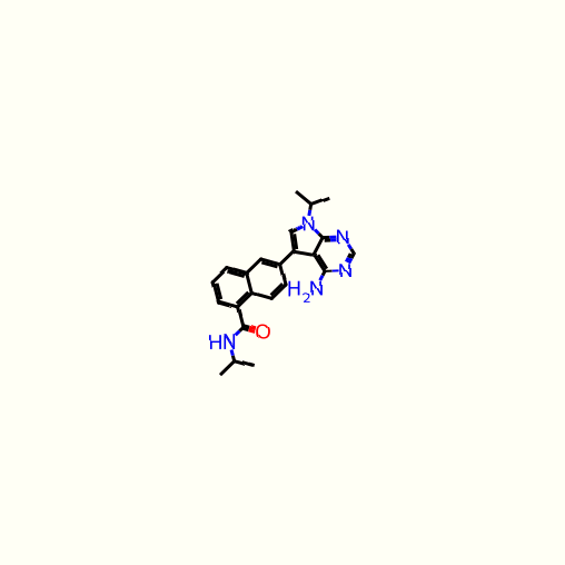 CC(C)NC(=O)c1cccc2cc(-c3cn(C(C)C)c4ncnc(N)c34)ccc12